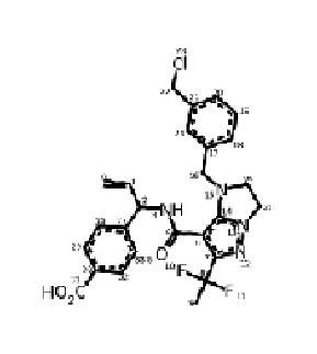 C=CC(NC(=O)c1c(C(C)(F)F)nn2c1N(Cc1cccc(CCl)c1)CC2)c1ccc(C(=O)O)cc1